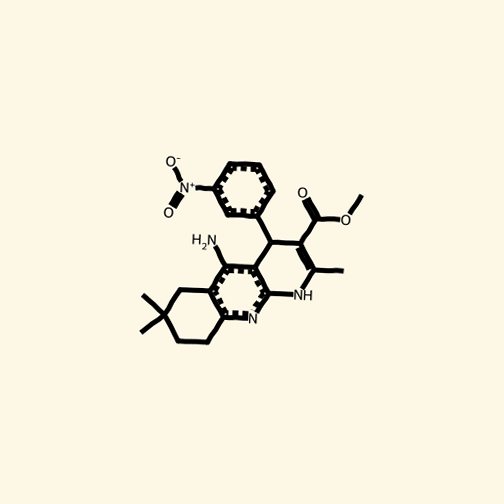 COC(=O)C1=C(C)Nc2nc3c(c(N)c2C1c1cccc([N+](=O)[O-])c1)CC(C)(C)CC3